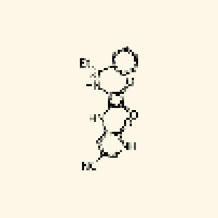 CC[C@@H](Nc1c(Nc2cc(C#N)c[nH]c2=O)c(=O)c1=O)c1ccccc1